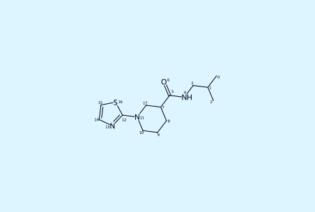 CC(C)CNC(=O)C1CCCN(c2nccs2)C1